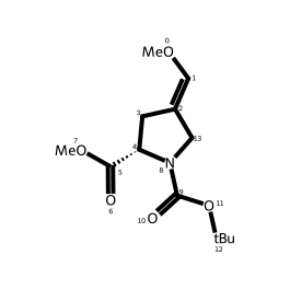 CO/C=C1\C[C@@H](C(=O)OC)N(C(=O)OC(C)(C)C)C1